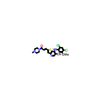 COc1cc(Nc2c(C#N)cnc3cc(/C=C/C(=O)N4CCN(C)CC4)sc23)c(Cl)cc1Cl